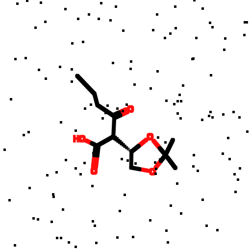 CCCC(=O)C(C(=O)O)[C@H]1COC(C)(C)O1